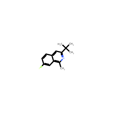 Cc1nc(C(C)(C)C)cc2ccc(F)cc12